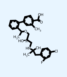 Cc1cc(-c2ccccc2C(C)OC[C@H](O)CNC(C)(C)Cc2ccc(Cl)cc2F)ccc1C(=O)O